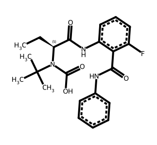 CC[C@@H](C(=O)Nc1cccc(F)c1C(=O)Nc1ccccc1)N(C(=O)O)C(C)(C)C